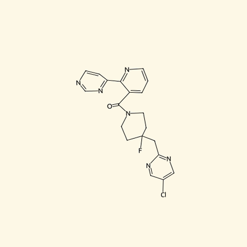 O=C(c1cccnc1-c1ccncn1)N1CCC(F)(Cc2ncc(Cl)cn2)CC1